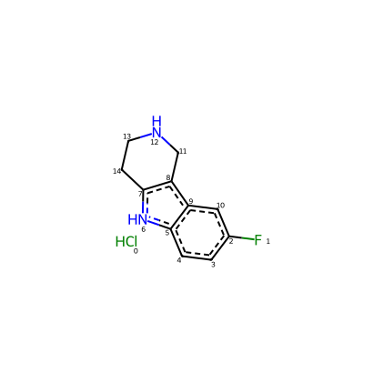 Cl.Fc1ccc2[nH]c3c(c2c1)CNCC3